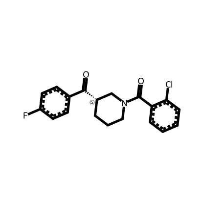 O=C(c1ccc(F)cc1)[C@H]1CCCN(C(=O)c2ccccc2Cl)C1